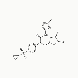 Cn1ccc(NC(=O)C(CC2CC(F)C(F)C2)c2ccc(S(=O)(=O)C3CC3)cc2)n1